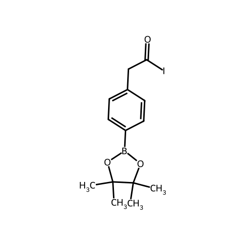 CC1(C)OB(c2ccc(CC(=O)I)cc2)OC1(C)C